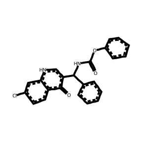 O=C(NC(c1ccccc1)c1c[nH]c2cc(Cl)ccc2c1=O)Oc1ccccc1